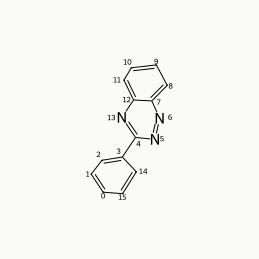 c1ccc(-c2nnc3ccccc3n2)cc1